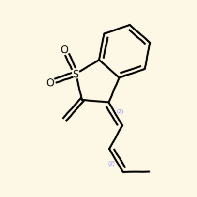 C=C1/C(=C\C=C/C)c2ccccc2S1(=O)=O